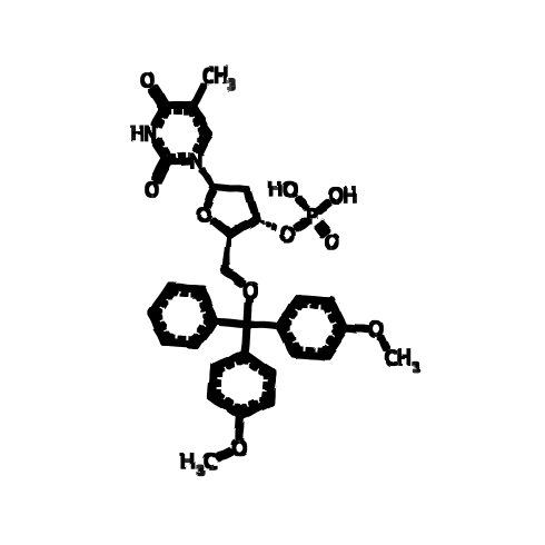 COc1ccc(C(OC[C@H]2O[C@@H](n3cc(C)c(=O)[nH]c3=O)C[C@@H]2OP(=O)(O)O)(c2ccccc2)c2ccc(OC)cc2)cc1